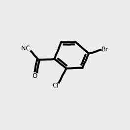 N#CC(=O)c1ccc(Br)cc1Cl